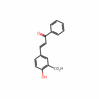 O=C(C=Cc1ccc(O)c(C(=O)O)c1)c1ccccc1